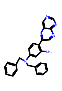 Nc1cc(N(Cc2ccccc2)Cc2ccccc2)ccc1-c1cnc2ncncc2n1